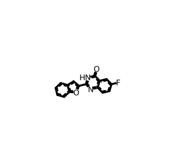 O=c1[nH]c(-c2cc3ccccc3o2)nc2ccc(F)cc12